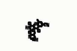 Cc1cc(C#N)cc(C(=O)c2c(C(C)C)c(=O)[nH]c(=O)n2CC2=CN=CNC2)c1